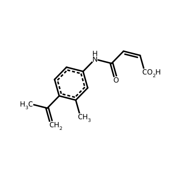 C=C(C)c1ccc(NC(=O)/C=C\C(=O)O)cc1C